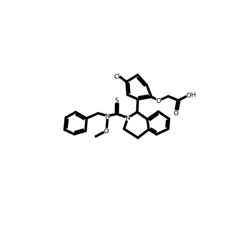 CON(Cc1ccccc1)C(=S)N1CCc2ccccc2C1c1cc(Cl)ccc1OCC(=O)O